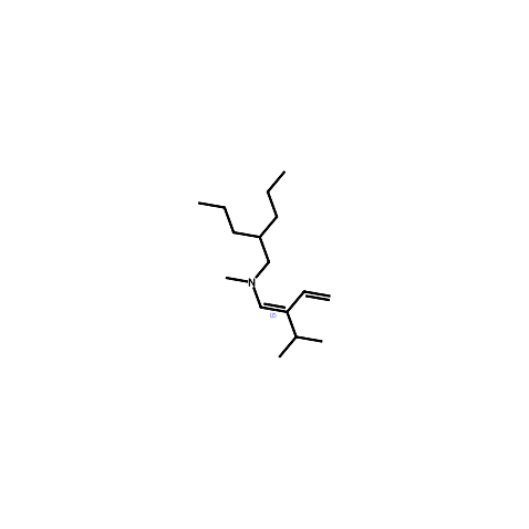 C=C/C(=C\N(C)CC(CCC)CCC)C(C)C